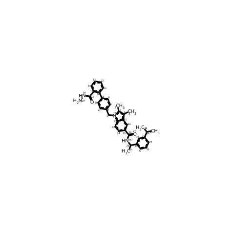 Cc1c(C)n(Cc2ccc(-c3ccccc3C(=O)NN)cc2)c2ccc(C(=O)NC(C)c3cccc(C(C)C)c3)cc12